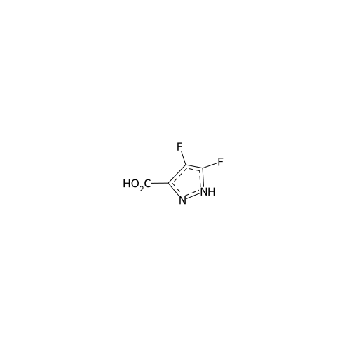 O=C(O)c1n[nH]c(F)c1F